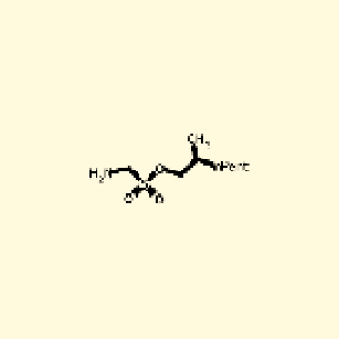 CCCCCC(C)COS(=O)(=O)CN